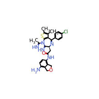 CC(=N)N1C(=N)[C@H](CC(=O)Nc2ccc(N)c3c2COC3)N=C(c2ccc(Cl)cc2)c2c1sc(C)c2C